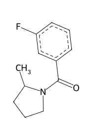 CC1CCCN1C(=O)c1cccc(F)c1